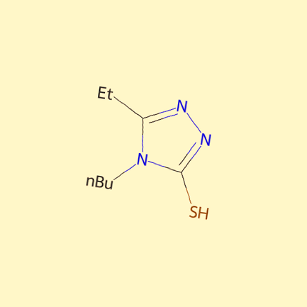 CCCCn1c(S)nnc1CC